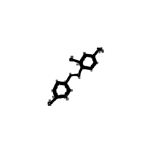 Nc1ccc(OCc2ccc(Cl)nc2)c(Cl)c1